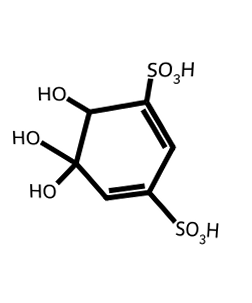 O=S(=O)(O)C1=CC(O)(O)C(O)C(S(=O)(=O)O)=C1